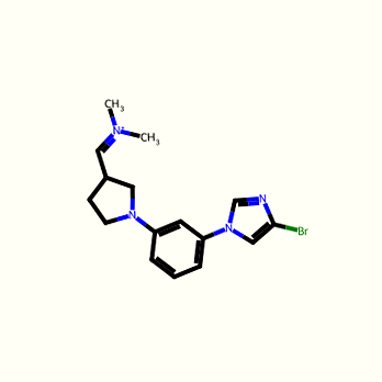 C[N+](C)=CC1CCN(c2cccc(-n3cnc(Br)c3)c2)C1